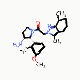 COc1cccc([C@@H]2[C@H](N)CCN2C(=O)Cn2nc3c(c2C)CCC[C@@H]3C)c1C